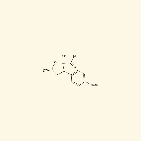 COc1ccc(C2CC(=O)OC2(C)C(N)=O)cc1